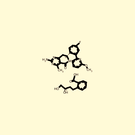 COc1cccc(-c2cc(F)ccc2[C@H]2Cc3nc(N)nc(C)c3C(=O)N2)n1.O=C(O)c1ccccc1CC[C@H](O)CO